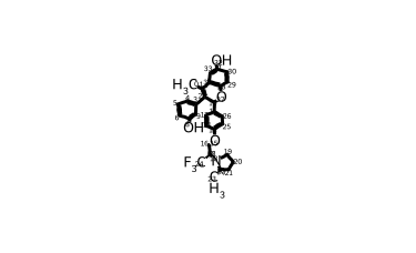 CC1=C(c2cccc(O)c2)C(c2ccc(OC[C@@H](N3CCC[C@H]3C)C(F)(F)F)cc2)Oc2ccc(O)cc21